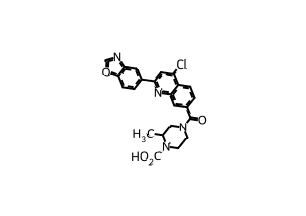 CC1CN(C(=O)c2ccc3c(Cl)cc(-c4ccc5ocnc5c4)nc3c2)CCN1C(=O)O